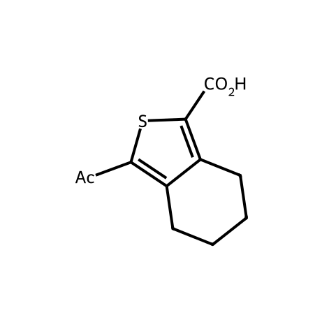 CC(=O)c1sc(C(=O)O)c2c1CCCC2